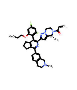 C=CC(=O)N1CCn2nc(-c3nc(-c4ccc5c(c4)CN(C)CC5)c4c(c3-c3c(F)cc(F)cc3OCCOC)CCC4)cc2[C@H]1C